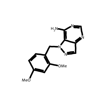 COc1ccc(Cn2ncc3ncnc(N)c32)c(OC)c1